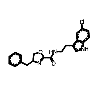 O=C(NCCc1c[nH]c2ccc(Cl)cc12)C1=NC(Cc2ccccc2)CO1